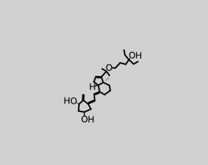 C=C1/C(=C\C=C2/CCC[C@]3(C)C(C(C)(C)OCCCC(O)(CC)CC)=CC[C@@H]23)C[C@@H](O)C[C@@H]1O